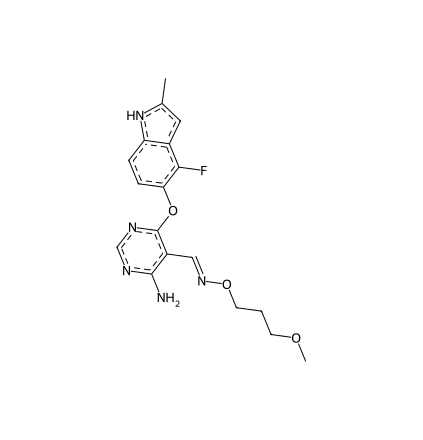 COCCCO/N=C/c1c(N)ncnc1Oc1ccc2[nH]c(C)cc2c1F